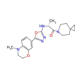 C[C@@H](Nc1nnc(-c2ccc3c(c2)OCCN3C)o1)C(=O)N1CCC2(CC1)CC2